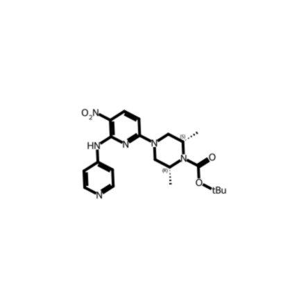 C[C@@H]1CN(c2ccc([N+](=O)[O-])c(Nc3ccncc3)n2)C[C@H](C)N1C(=O)OC(C)(C)C